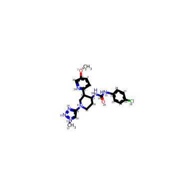 COc1ccc(C2CN(c3cn(C)nn3)CCC2NC(=O)Nc2ccc(Cl)cc2)nc1